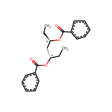 CC[C@H](C[C@H](CC)OC(=O)c1ccccc1)OC(=O)c1ccccc1